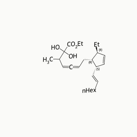 CCCCCCC=C[C@H]1C=C[C@H](CC)[C@H]1CC=C=CC(C)C(O)(O)C(=O)OCC